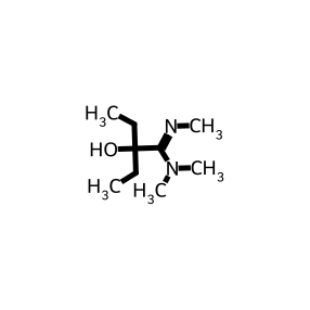 CCC(O)(CC)C(=NC)N(C)C